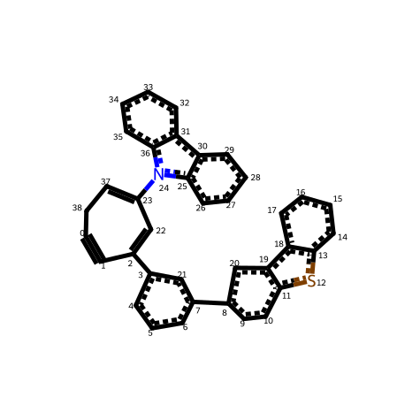 C1#CC(c2cccc(-c3ccc4sc5ccccc5c4c3)c2)=CC(n2c3ccccc3c3ccccc32)=CC1